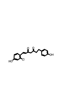 O=C(C=Cc1ccc(O)cc1Cl)CC(=O)CCc1ccc(O)cc1